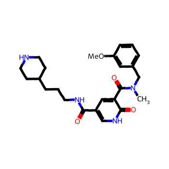 COc1cccc(CN(C)C(=O)c2cc(C(=O)NCCCC3CCNCC3)c[nH]c2=O)c1